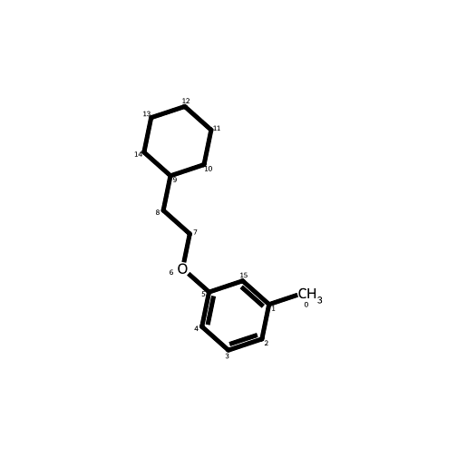 Cc1cccc(OCCC2CCCCC2)c1